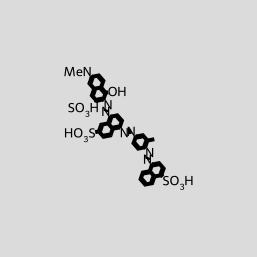 CNc1ccc2c(O)c(N=Nc3ccc(N=Nc4ccc(N=Nc5ccc(S(=O)(=O)O)c6ccccc56)c(C)c4)c4ccc(S(=O)(=O)O)cc34)c(S(=O)(=O)O)cc2c1